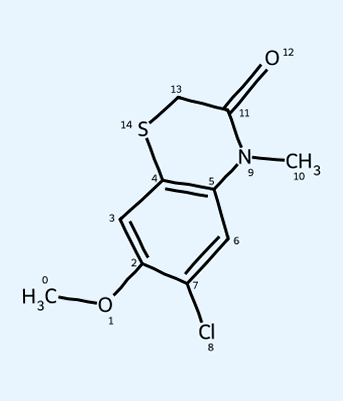 COc1cc2c(cc1Cl)N(C)C(=O)CS2